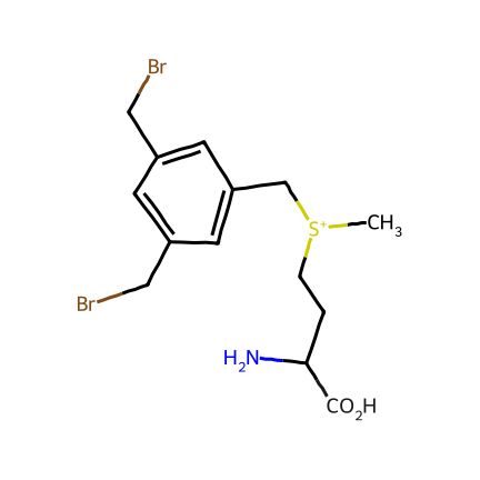 C[S+](CCC(N)C(=O)O)Cc1cc(CBr)cc(CBr)c1